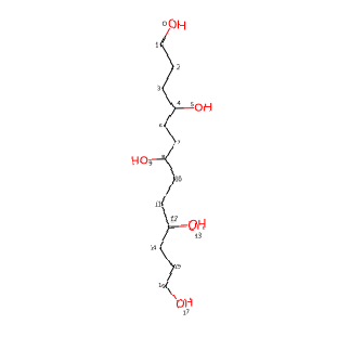 OCCCC(O)CCC(O)CCC(O)CCCO